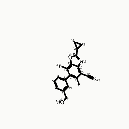 Cc1c(-c2cccc(CO)c2)c(F)c2oc(C3CC3)nc2c1C#N